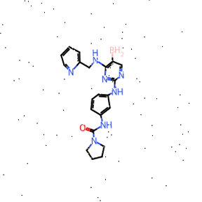 Bc1cnc(Nc2cccc(NC(=O)N3CCCC3)c2)nc1NCc1ccccn1